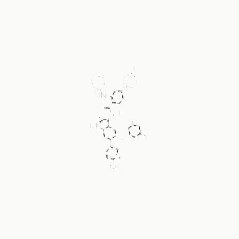 Nc1ccc(-c2cc3[nH]nc(NC(=O)c4ccc(N5CCNCC5)cc4NC4CCOCC4)c3cc2Cc2cc(F)cc(F)c2)cn1